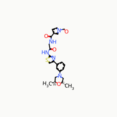 C[C@H]1CN(c2cccc(-c3csc(NC(=O)CNC(=O)c4ccn(C=O)c4)n3)c2)C[C@H](C)O1